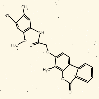 COc1cc(Cl)c(C)cc1NC(=O)COc1ccc2c(oc(=O)c3ccccc32)c1C